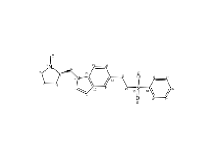 CN1CCC[C@@H]1Cn1ccc2cc(CCS(=O)(=O)c3ccccc3)ccc21